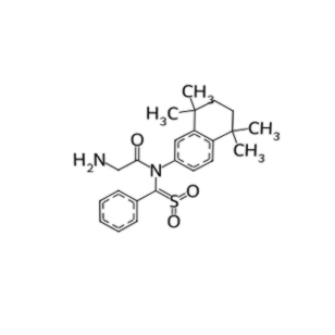 CC1(C)CCC(C)(C)c2cc(N(C(=O)CN)C(c3ccccc3)=S(=O)=O)ccc21